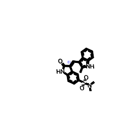 Cc1[nH]c2ccccc2c1/C=C1/C(=O)Nc2ccc(S(=O)(=O)N(C)C)cc21